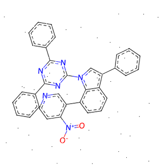 O=[N+]([O-])c1ccncc1-c1cccc2c(-c3ccccc3)cn(-c3nc(-c4ccccc4)nc(-c4ccccc4)n3)c12